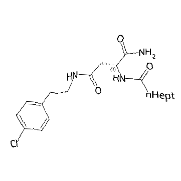 CCCCCCCC(=O)N[C@H](CC(=O)NCCc1ccc(Cl)cc1)C(N)=O